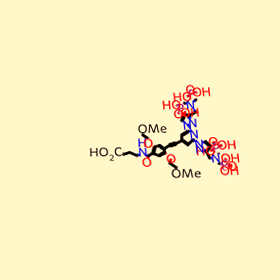 COCCOc1cc(C(=O)NCCCC(=O)O)c(OCCOC)cc1C#Cc1cc(-n2ccc(CN(CP(=O)(O)O)CP(=O)(O)O)n2)nc(-n2ccc(CN(CP(=O)(O)O)CP(=O)(O)O)n2)c1